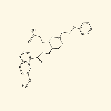 COc1ccc2nccc([C@H](F)CC[C@@H]3CCN(CCSc4ccccc4)C[C@H]3CCC(=O)O)c2c1